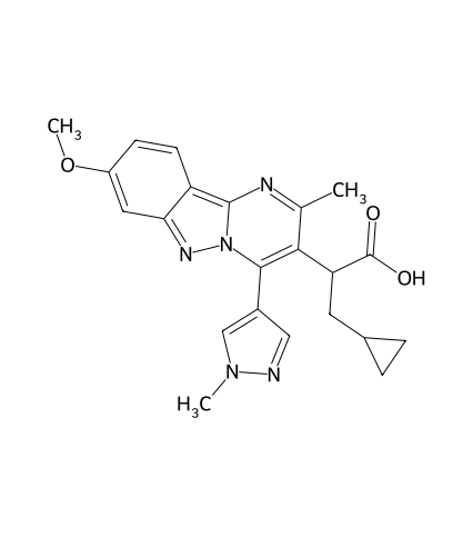 COc1ccc2c(c1)nn1c(-c3cnn(C)c3)c(C(CC3CC3)C(=O)O)c(C)nc21